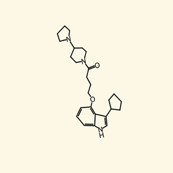 O=C(CCCOc1cccc2[nH]cc(C3CCCC3)c12)N1CCC(N2CCCC2)CC1